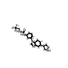 O=C(NCC(F)(F)F)Nc1cccc(-n2cnc3cc(C4C=NNC4)ccc32)c1